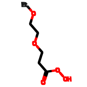 CCOCCOCCC(=O)OO